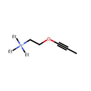 CC#COCC[N+](CC)(CC)CC